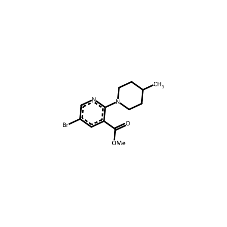 COC(=O)c1cc(Br)cnc1N1CCC(C)CC1